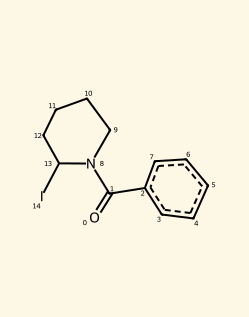 O=C(c1ccccc1)N1CCCCC1I